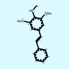 CBc1c(OC)cc(/C=C/c2ccccc2)cc1OC